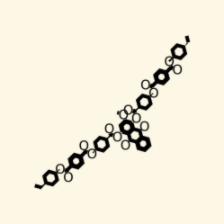 CC[C@H]1CC[C@H](OC(=O)c2ccc(C(=O)O[C@H]3CC[C@H](C(=O)Oc4cc(OC)c(OC(=O)[C@H]5CC[C@H](OC(=O)c6ccc(C(=O)O[C@H]7CC[C@H](CC)CC7)cc6)CC5)c5c4C(=O)c4ccccc4C5=O)CC3)cc2)CC1